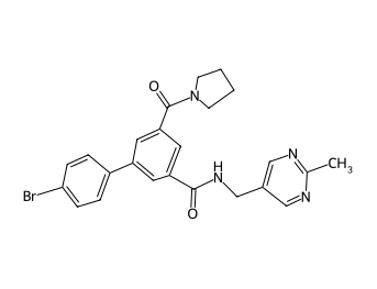 Cc1ncc(CNC(=O)c2cc(C(=O)N3CCCC3)cc(-c3ccc(Br)cc3)c2)cn1